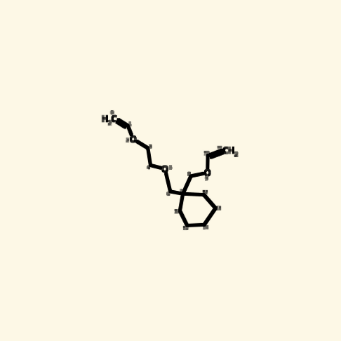 C=COCCOCC1(COC=C)CCCCC1